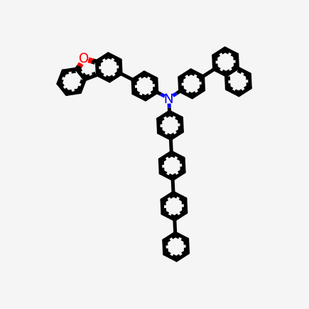 c1ccc(-c2ccc(-c3ccc(-c4ccc(N(c5ccc(-c6ccc7oc8ccccc8c7c6)cc5)c5ccc(-c6cccc7ccccc67)cc5)cc4)cc3)cc2)cc1